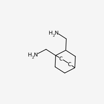 NCC1CC2CCC1(CN)CC2